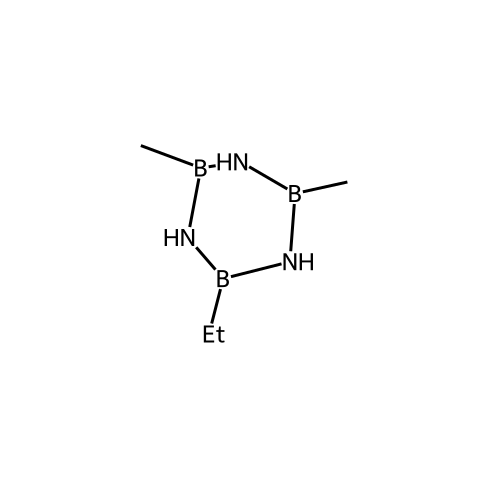 CCB1NB(C)NB(C)N1